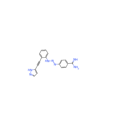 N=C(N)c1ccc(/N=N/Nc2ccccc2C#Cc2ccn[nH]2)cc1